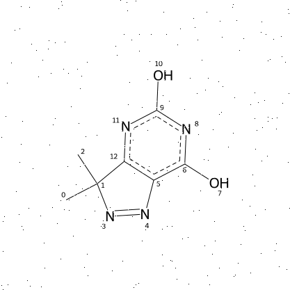 CC1(C)N=Nc2c(O)nc(O)nc21